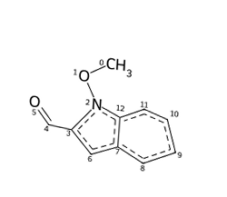 COn1c(C=O)cc2ccccc21